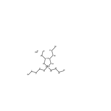 CCCCC[P+](CCCC)(CCCC)CCCCC.[I-]